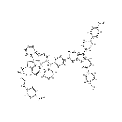 C=Cc1ccc(OCC[Si](C)(C)CCCC2(c3ccccc3)c3ccccc3-c3ccc(N(c4ccccc4)c4ccc(-c5ccc6c(c5)c5cc(-c7ccc(C(C)(C)C)cc7)ccc5n6-c5ccc(-c6ccc(C=C)cc6)cc5)cc4)cc32)cc1